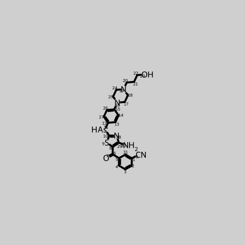 N#Cc1cccc(C(=O)c2sc([AsH]c3ccc(N4CCN(CCCO)CC4)cc3)nc2N)c1